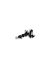 CCN1CC[C@@H](c2ccc(-c3cc(C(F)F)c4cn(C(C(=O)Nc5nccs5)c5ncn6c5C[C@@H](F)C6)nc4c3C)cc2)[C@H](F)C1